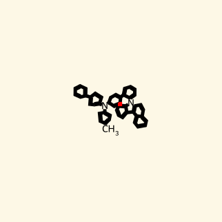 Cc1ccc(N(c2ccc(-c3ccccc3)cc2)C2C=CC(c3ccccc3-n3c4ccccc4c4c5ccccc5ccc43)=CC2)cc1